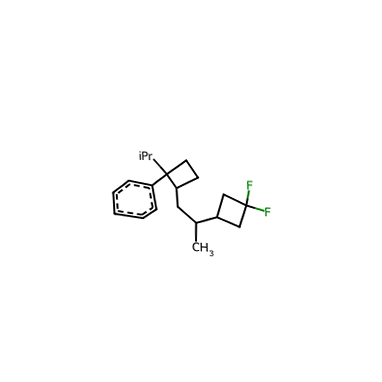 CC(CC1CCC1(c1ccccc1)C(C)C)C1CC(F)(F)C1